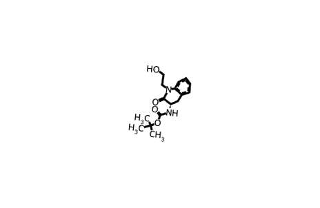 CC(C)(C)OC(=O)N[C@H]1Cc2ccccc2N(CCO)C1=O